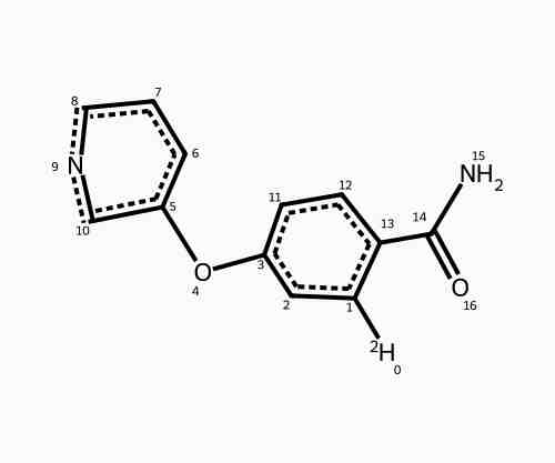 [2H]c1cc(Oc2cccnc2)ccc1C(N)=O